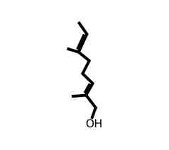 C/C=C(\C)CC/C=C(\C)CO